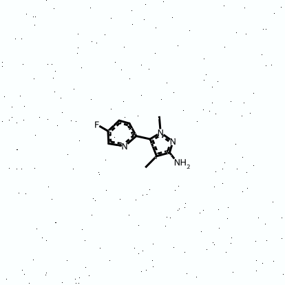 Cc1c(N)nn(C)c1-c1ccc(F)cn1